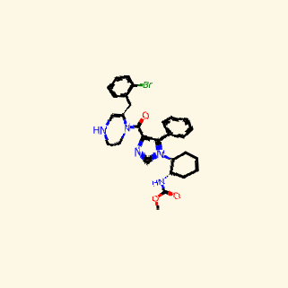 COC(=O)N[C@H]1CCCC[C@@H]1n1cnc(C(=O)N2CCNC[C@H]2Cc2ccccc2Br)c1-c1ccccc1